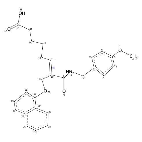 COc1ccc(CNC(=O)/C(=C/CCCCC(=O)O)COc2cccc3ccccc23)cc1